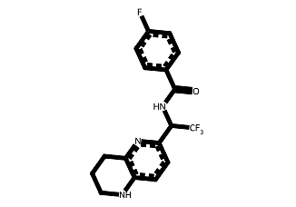 O=C(NC(c1ccc2c(n1)CCCN2)C(F)(F)F)c1ccc(F)cc1